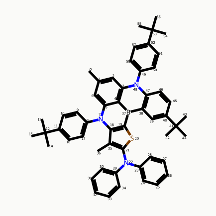 Cc1cc2c3c(c1)N(c1ccc(C(C)(C)C)cc1)c1c(sc(N(c4ccccc4)c4ccccc4)c1C)B3c1cc(C(C)(C)C)ccc1N2c1ccc(C(C)(C)C)cc1